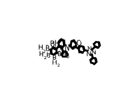 Bc1c(B)c(B)c(-c2cccc3c2c2ccccc2n3-c2ccc3oc4cc(-c5nc(-c6ccccc6)nc(-c6ccccc6)n5)ccc4c3c2)c(B)c1B